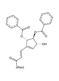 CCCCCC(=O)/C=C/C1=C[C@@H](O)[C@H](OC(=O)c2ccccc2)[C@H]1OC(=O)c1ccccc1